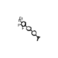 CCOc1ccc(C2CCC(C3CCC(C4CC4C)CC3)CC2)c(F)c1F